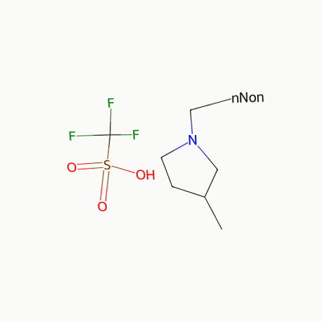 CCCCCCCCCCN1CCC(C)C1.O=S(=O)(O)C(F)(F)F